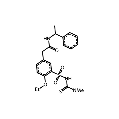 CCOc1ccc(CC(=O)NC(C)c2ccccc2)cc1S(=O)(=O)NC(=S)NC